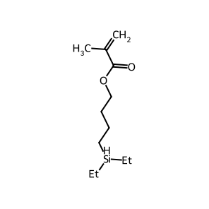 C=C(C)C(=O)OCCCC[SiH](CC)CC